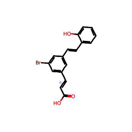 O=C(O)/C=C/c1cc(Br)cc(C=Cc2ccccc2O)c1